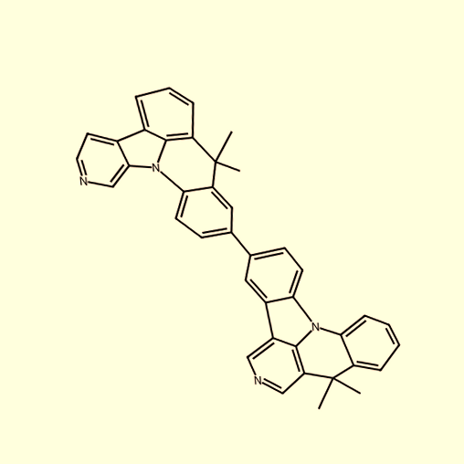 CC1(C)c2ccccc2-n2c3ccc(-c4ccc5c(c4)C(C)(C)c4cccc6c7ccncc7n-5c46)cc3c3cncc1c32